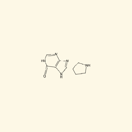 C1CCNC1.O=c1[nH]cnc2nc[nH]c12